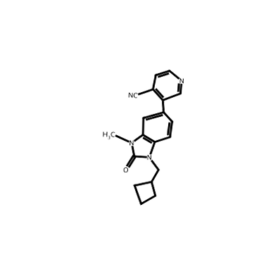 Cn1c(=O)n(CC2CCC2)c2ccc(-c3cnccc3C#N)cc21